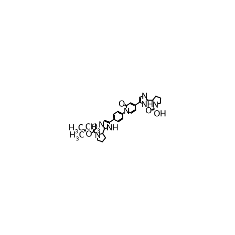 CC(C)(C)OC(=O)N1CCCC1c1ncc(-c2ccc(-n3ccc(-c4cnc(C5CCCN5C(=O)O)[nH]4)cc3=O)cc2)[nH]1